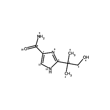 CC(C)(CO)c1nc(C(N)=O)c[nH]1